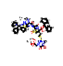 CCOC(Cn1nc(S/C=C/C2=C(C(=O)OC(c3ccccc3)c3ccccc3)N3C(=O)C(NC(=O)/C(=N/OC)c4csc(NC(c5ccccc5)(c5ccccc5)c5ccccc5)n4)C3[S+]([O-])C2)n(C)c(=O)c1=O)OCC